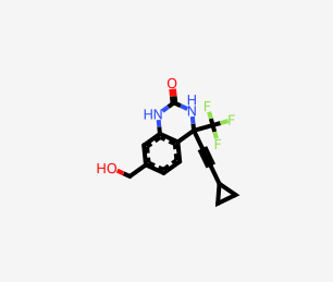 O=C1Nc2cc(CO)ccc2C(C#CC2CC2)(C(F)(F)F)N1